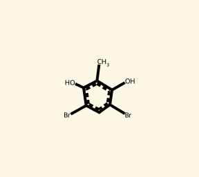 Cc1c(O)c(Br)cc(Br)c1O